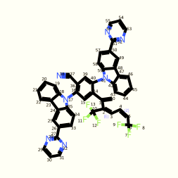 C=C(/C(=C\C=C/C(F)(F)F)C(F)(F)F)c1cc(-n2c3ccccc3c3cc(-c4ncccn4)ccc32)c(C#N)cc1-n1c2ccccc2c2cc(-c3ncccn3)ccc21